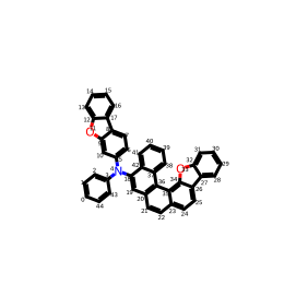 c1ccc(N(c2ccc3c(c2)oc2ccccc23)c2cc3ccc4ccc5c6ccccc6oc5c4c3c3ccccc23)cc1